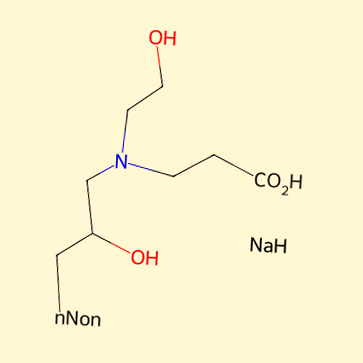 CCCCCCCCCCC(O)CN(CCO)CCC(=O)O.[NaH]